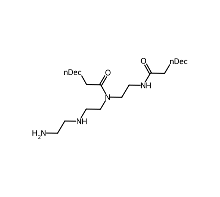 CCCCCCCCCCCC(=O)NCCN(CCNCCN)C(=O)CCCCCCCCCCC